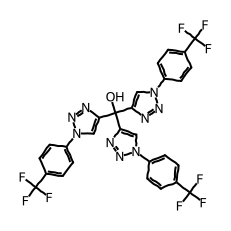 OC(c1cn(-c2ccc(C(F)(F)F)cc2)nn1)(c1cn(-c2ccc(C(F)(F)F)cc2)nn1)c1cn(-c2ccc(C(F)(F)F)cc2)nn1